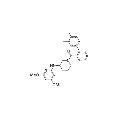 COc1cc(OC)nc(NC2CCCN(C(=O)c3ccccc3-c3ccc(C)c(C)c3)C2)n1